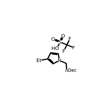 CCCCCCCCCCCn1ccc(CC)c1.O=S(=O)(O)C(F)(F)F